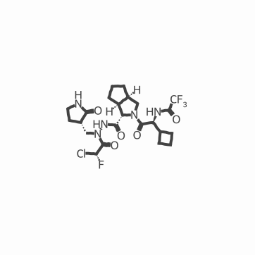 O=C1NCC[C@H]1CN(NC(=O)[C@@H]1[C@H]2CCC[C@H]2CN1C(=O)[C@@H](NC(=O)C(F)(F)F)C1CCC1)C(=O)[C@H](F)Cl